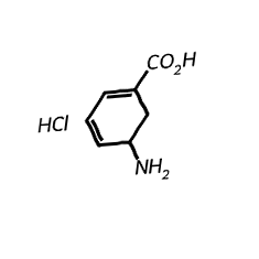 Cl.NC1C=CC=C(C(=O)O)C1